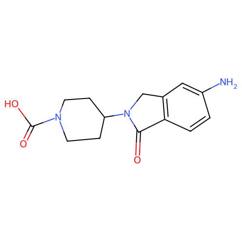 Nc1ccc2c(c1)CN(C1CCN(C(=O)O)CC1)C2=O